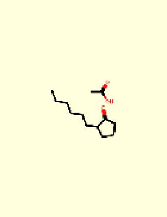 CC(=O)O.CCCCCCC1CCCC1=O